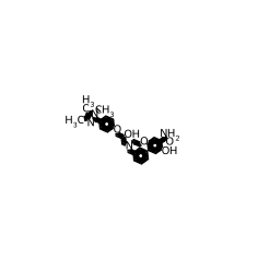 Cc1nc(-c2ccc(OCC(O)CN(CCOc3ccc(O)c(C(N)=O)c3)Cc3ccccc3)cc2)n(C)c1C